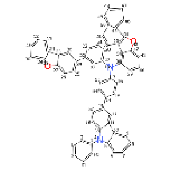 c1ccc(-n2c3ccccc3c3cc(-c4ccc(N(c5cccc(-c6ccc7oc8ccccc8c7c6)c5)c5cccc6oc7c8ccccc8ccc7c56)cc4)ccc32)cc1